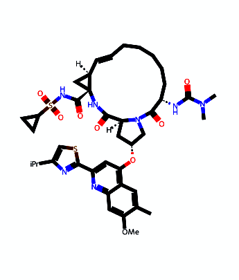 COc1cc2nc(-c3nc(C(C)C)cs3)cc(O[C@@H]3C[C@H]4C(=O)N[C@]5(C(=O)NS(=O)(=O)C6CC6)C[C@H]5/C=C/CCCCC[C@H](NC(=O)N(C)C)C(=O)N4C3)c2cc1C